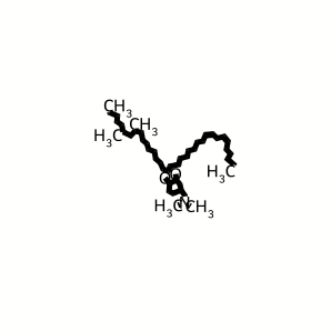 CCCCC/C=C\C/C=C\CCCCCCCCC1(CCCCCCCCC(C)CC(C)CCCCC)OC2CCC(CN(C)C)CC2O1